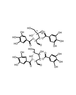 O=C[C@H](OC(=O)c1cc(O)c(O)c(O)c1)[C@@H](OC(=O)c1cc(O)c(O)c(O)c1)[C@H](O)[C@H](O)CO.O=C[C@H](OC(=O)c1cc(O)c(O)c(O)c1)[C@@H](OC(=O)c1cc(O)c(O)c(O)c1)[C@H](O)[C@H](O)CO